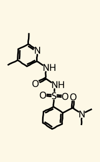 Cc1cc(C)nc(NC(=O)NS(=O)(=O)c2ccccc2C(=O)N(C)C)c1